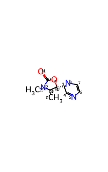 C[C@H]1[C@@H](c2cnccn2)OC(=O)N1C